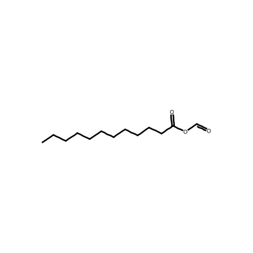 CCCCCCCCCCCC(=O)OC=O